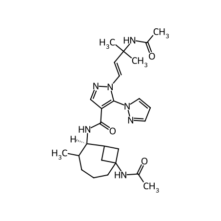 CC(=O)NC(C)(C)/C=C/n1ncc(C(=O)N[C@@H]2C(C)CCCC3(NC(C)=O)CC2C3)c1-n1cccn1